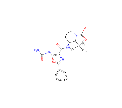 CC(C)(C)C1[C@@H](NC(=O)c2nc(-c3ccccc3)oc2NC(N)=O)CCCN1C(=O)O